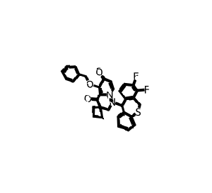 O=C1c2c(OCc3ccccc3)c(=O)ccn2N(C2c3ccccc3SCc3c2ccc(F)c3F)CC12CCC2